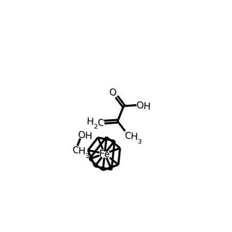 C=C(C)C(=O)O.CO.[CH]12[CH]3[CH]4[CH]5[CH]1[Fe]23451678[CH]2[CH]1[CH]6[CH]7[CH]28